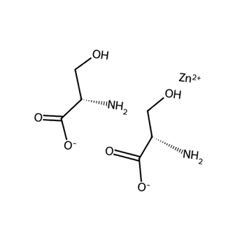 N[C@@H](CO)C(=O)[O-].N[C@@H](CO)C(=O)[O-].[Zn+2]